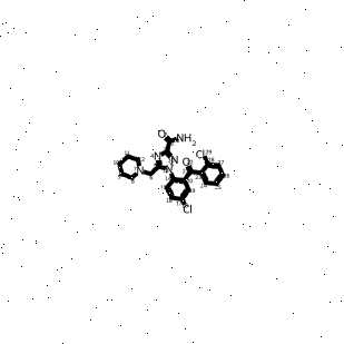 NC(=O)c1nc(CN2CCCCC2)n(-c2ccc(Cl)cc2C(=O)c2ccccc2Cl)n1